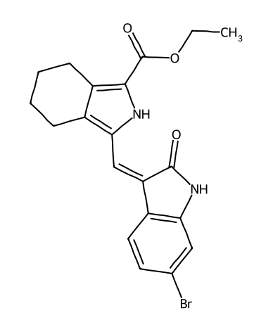 CCOC(=O)c1[nH]c(C=C2C(=O)Nc3cc(Br)ccc32)c2c1CCCC2